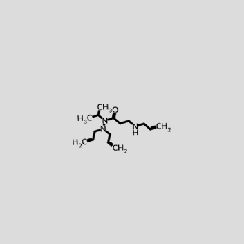 C=CCNCCC(=O)N(C(C)C)N(CC=C)CC=C